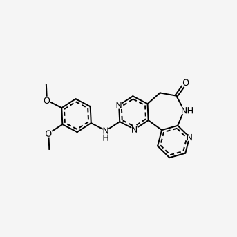 COc1ccc(Nc2ncc3c(n2)-c2cccnc2NC(=O)C3)cc1OC